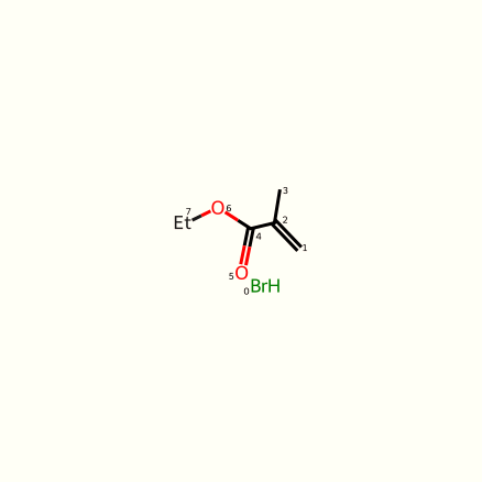 Br.C=C(C)C(=O)OCC